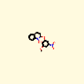 COc1cc(OC2C=Cc3ccccc3N2O)cc([N+](=O)[O-])c1